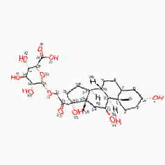 C[C@]12CC[C@@H](O)CC1CC[C@@H]1[C@@H]2[C@@H](O)C[C@@]2(C)[C@H]1CC[C@]2(O)C(=O)COC1O[C@H](C(=O)O)[C@@H](O)[C@H](O)[C@H]1O